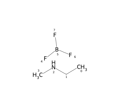 CCNC.FB(F)F